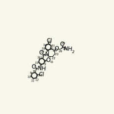 COc1cc(NC(=O)c2ccccc2Cl)ccc1C(=O)N1CCCC(OCC(N)=O)c2cc(Cl)ccc21